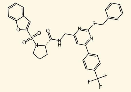 O=C(NCc1cc(-c2ccc(C(F)(F)F)cc2)nc(SCc2ccccc2)n1)[C@@H]1CCCN1S(=O)(=O)c1cc2ccccc2o1